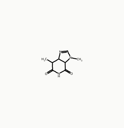 CC1C(=O)NC(=O)C2C1N=CN2C